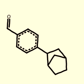 O=Cc1ccc(C2CC3CCC2C3)cc1